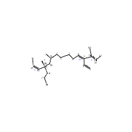 C=CC(=C\CCCCC(C)C[C@@](C)(/C=C\C)CCC)/C(C)=N/C